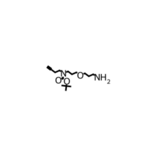 C#CCCN(CCCOCCCN)C(=O)OC(C)(C)C